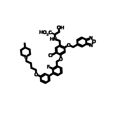 CC1CCN(CCCCOc2cccc(-c3cccc(COc4cc(OCc5ccc6nonc6c5)c(CN[C@H](CO)C(=O)O)cc4Cl)c3F)c2)CC1